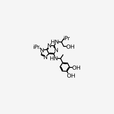 CC(Nc1nc(NC(CO)C(C)C)nc2c1ncn2C(C)C)c1ccc(O)c(O)c1